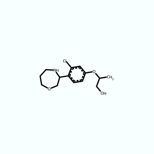 CC(CO)Oc1ccc(C2COCCCN2)c(Cl)c1